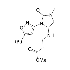 COC(=O)CCNC1CN(C)C(=O)N1c1cc(C(C)(C)C)on1